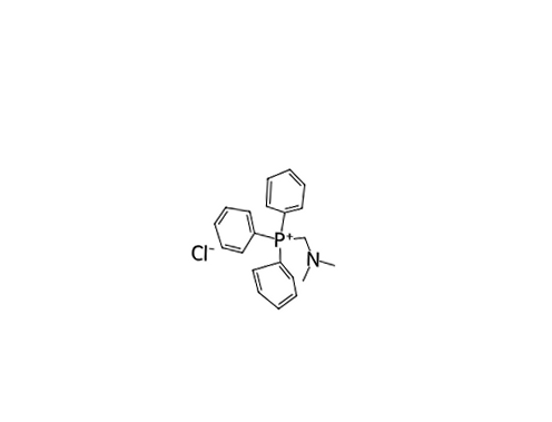 CN(C)C[P+](c1ccccc1)(c1ccccc1)c1ccccc1.[Cl-]